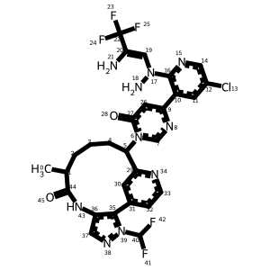 CC1CCCC(n2cnc(-c3cc(Cl)cnc3N(N)/C=C(\N)C(F)(F)F)cc2=O)c2cc(ccn2)-c2c(cnn2C(F)F)NC1=O